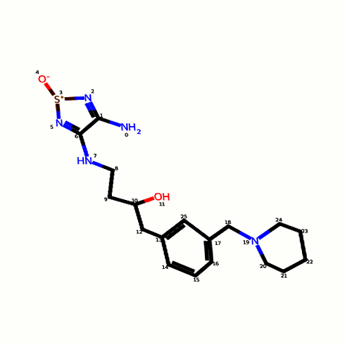 Nc1n[s+]([O-])nc1NCCC(O)Cc1cccc(CN2CCCCC2)c1